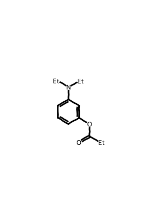 CCC(=O)Oc1cccc(N(CC)CC)c1